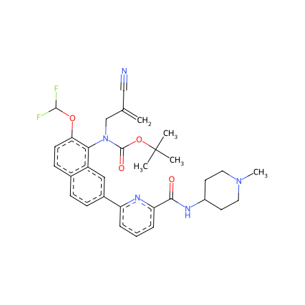 C=C(C#N)CN(C(=O)OC(C)(C)C)c1c(OC(F)F)ccc2ccc(-c3cccc(C(=O)NC4CCN(C)CC4)n3)cc12